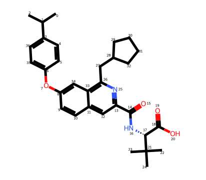 CC(C)c1ccc(Oc2ccc3cc(C(=O)N[C@H](C(=O)O)C(C)(C)C)nc(CC4CCCC4)c3c2)cc1